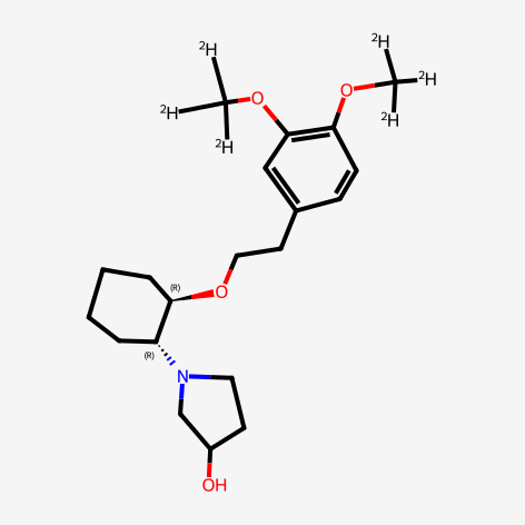 [2H]C([2H])([2H])Oc1ccc(CCO[C@@H]2CCCC[C@H]2N2CCC(O)C2)cc1OC([2H])([2H])[2H]